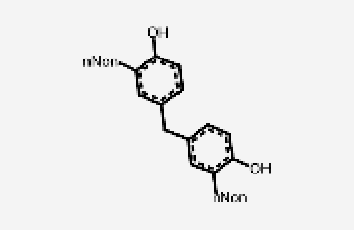 CCCCCCCCCc1cc(Cc2ccc(O)c(CCCCCCCCC)c2)ccc1O